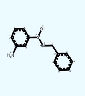 Nc1c[c]cc([S+]([O-])NCc2ccccc2)c1